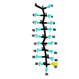 CC(F)C(F)(F)C(F)(F)C(F)(F)C(F)(F)C(F)(F)C(F)(F)C(F)(F)C(F)(F)S